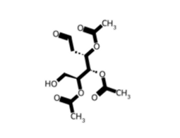 CC(=O)O[C@H]([C@H](CO)OC(C)=O)[C@H](CC=O)OC(C)=O